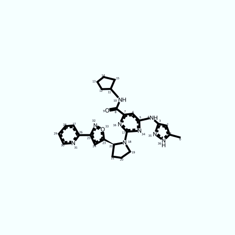 Cc1cc(Nc2cc(C(=O)NC3CCCC3)nc(N3CCC[C@H]3c3cc(-c4ccccn4)no3)n2)n[nH]1